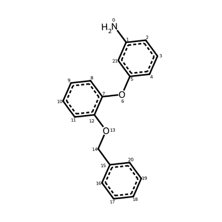 Nc1cccc(Oc2ccccc2OCc2ccccc2)c1